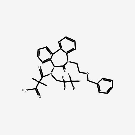 CC(C)(C(N)=O)C(=O)N(CC(F)(F)C(F)(F)F)[C@@H]1C(=O)N(CCOCc2ccccc2)c2ccccc2-c2ccccc21